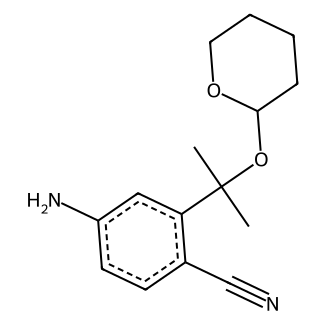 CC(C)(OC1CCCCO1)c1cc(N)ccc1C#N